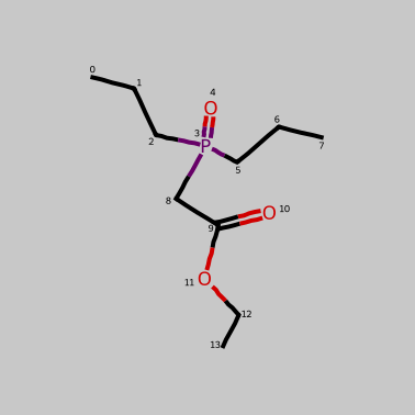 CCCP(=O)(CCC)CC(=O)OCC